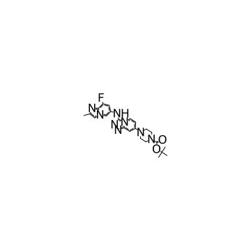 Cc1cn2cc(Nc3nnc4cc(N5CCN(C(=O)OC(C)(C)C)CC5)ccn34)cc(F)c2n1